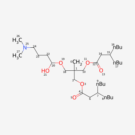 [CH2]C(COC(=O)CC(CCCC)CCCC)(COC(=O)CC(CCCC)CCCC)COC(O)CCCN(C)C